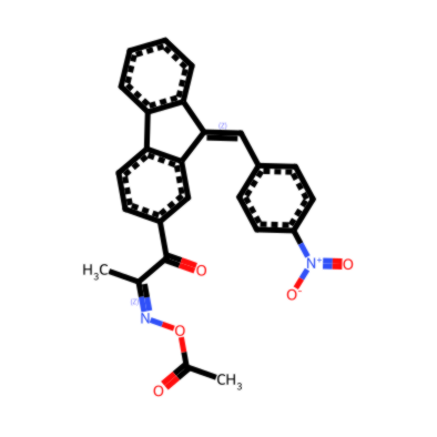 CC(=O)O/N=C(/C)C(=O)c1ccc2c(c1)/C(=C\c1ccc([N+](=O)[O-])cc1)c1ccccc1-2